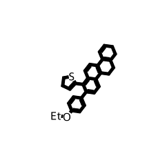 CCOc1ccc(-c2ccc3c4c(ccc3c2C2=CCCS2)C2=C(CCC=C2)CC4)cc1